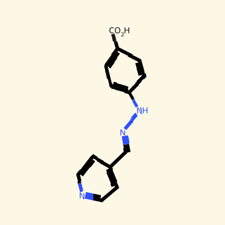 O=C(O)c1ccc(NN=Cc2ccncc2)cc1